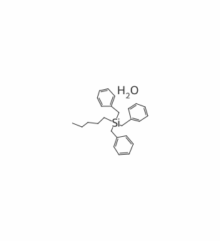 CCCCC[Si](Cc1ccccc1)(Cc1ccccc1)Cc1ccccc1.O